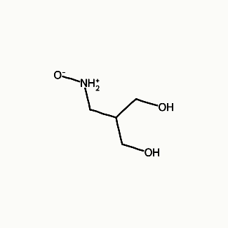 [O-][NH2+]CC(CO)CO